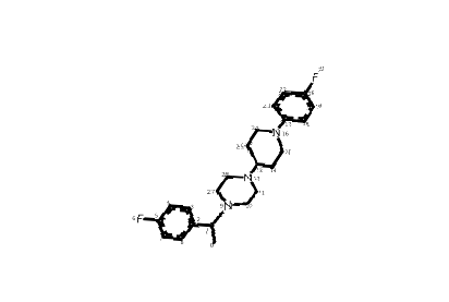 CC(c1ccc(F)cc1)N1CCN(C2CCN(c3ccc(F)cc3)CC2)CC1